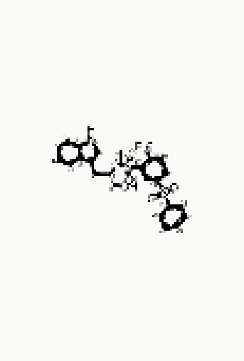 O=S(=O)(N[C@H](CO)Cc1c[nH]c2ccccc12)c1cc(S(=O)(=O)c2ccccc2)ccc1C(F)(F)F